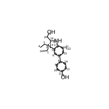 CC[N+]1(CC)c2cc(-c3ccc(O)cc3)ccc2NC1CO.[I-]